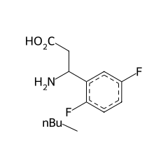 CCCCC.NC(CC(=O)O)c1cc(F)ccc1F